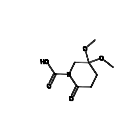 COC1(OC)CCC(=O)N(C(=O)O)C1